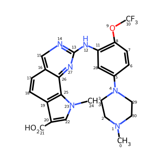 CN1CCN(c2ccc(OC(F)(F)F)c(Nc3ncc4ccc5c(C(=O)O)cn(C)c5c4n3)c2)CC1